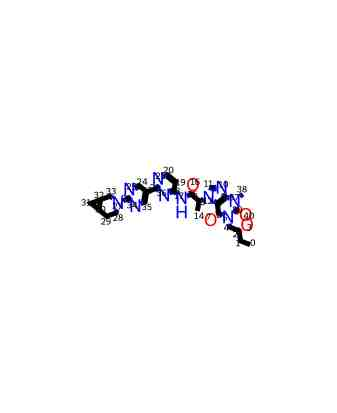 CCC(=O)Cn1c(=O)c2c(ncn2C(C)C(=O)Nc2ccnc(-c3cnc(N4CCC5CC5C4)nc3)n2)n(C)c1=O